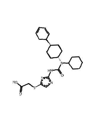 O=C(O)CSc1cnc(NC(=O)N(C2CCCCC2)[C@H]2CC[C@H](C3C=CC=CC3)CC2)s1